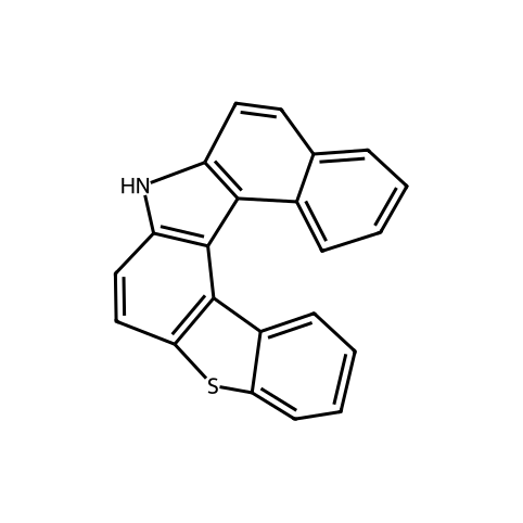 c1ccc2c(c1)ccc1[nH]c3ccc4sc5ccccc5c4c3c12